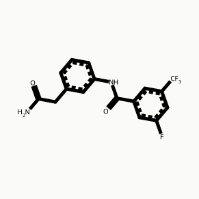 NC(=O)Cc1cccc(NC(=O)c2cc(F)cc(C(F)(F)F)c2)c1